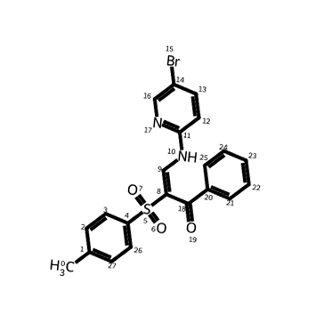 Cc1ccc(S(=O)(=O)C(=CNc2ccc(Br)cn2)C(=O)c2ccccc2)cc1